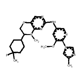 COc1cc(Nc2ncc3c(n2)N(C)C(C2CCC(C)(F)CC2)CO3)cnc1-n1cnc(C)c1